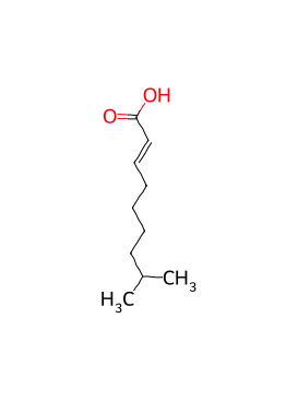 CC(C)CCCC/C=C/C(=O)O